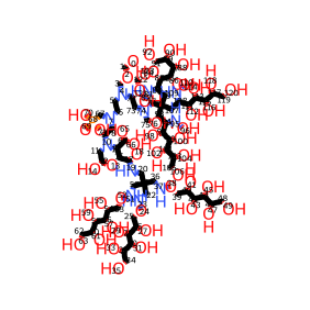 O=COCN(CCN(CCN(CC(=O)O)C(CC(=O)NCC(CNOCC(O)C(O)C(O)C(O)CO)(CNOCC(O)C(O)C(O)C(O)CO)CNOCC(O)C(O)C(O)C(O)CO)C(=O)O)CP(=O)(O)O)C(CN(CO)CC(CC(NO)C(O)C(O)C(O)C(O)CO)(CC(NO)C(O)C(O)C(O)C(O)CO)CC(NO)C(O)C(O)C(O)C(O)CO)OC=O